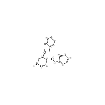 CC1C[C@@H](OCc2ccccc2)[C@H](OCc2ccccc2)CO1